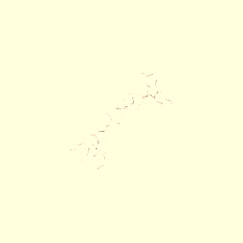 C=C/C=C\c1c(C)c2c(n1-c1ccc(C(C)(C)C3=CCC=C(C(C)(C)c4ccc(-n5c(/C=C\C=C)c(C)c6ccccc65)cc4)C=C3)cc1)C=CC=CC2